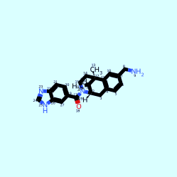 C[C@@H]1[C@H]2Cc3ccc(CN)cc3[C@]1(C)CCN2C(=O)c1ccc2nc[nH]c2c1